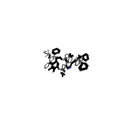 Cc1cc(C(CC[C@@H]2OC(C)(C)O[C@@H]2C(/C=C\C[C@H](C)O[Si](c2ccccc2)(c2ccccc2)C(C)(C)C)O[Si](C)(C)C(C)(C)C)Sc2ccccc2)c(C(=O)OCC[Si](C)(C)C)c(C)c1C